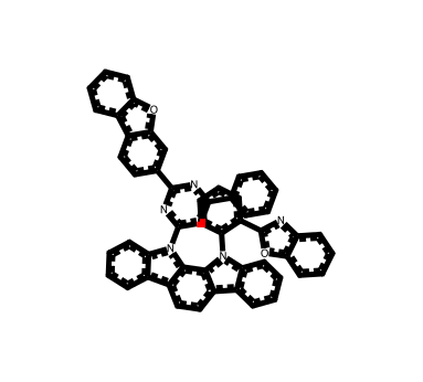 c1ccc(-c2nc(-c3ccc4c(c3)oc3ccccc34)nc(-n3c4ccccc4c4ccc5c6ccccc6n(-c6ccccc6-c6nc7ccccc7o6)c5c43)n2)cc1